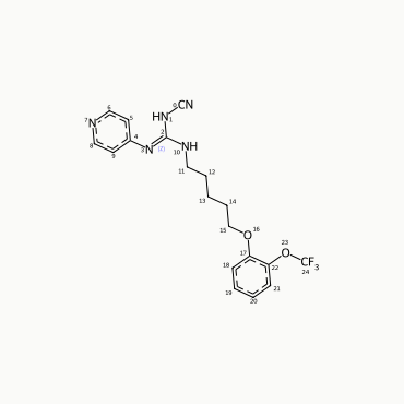 N#CN/C(=N\c1ccncc1)NCCCCCOc1ccccc1OC(F)(F)F